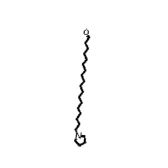 O=CCCCCCCCCCCCCCCCCCN1CCCC1